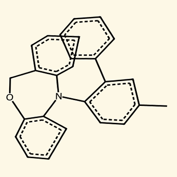 Cc1ccc(N2c3ccccc3COc3ccccc32)c(-c2ccccc2)c1